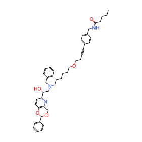 CCCCC(=O)NCc1ccc(C#CCCOCCCCCCN(Cc2ccccc2)CC(O)c2ccc3c(n2)COC(c2ccccc2)O3)cc1